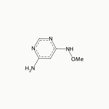 CONc1cc(N)ncn1